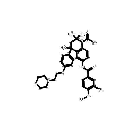 COc1ccc(C(=O)Nc2ccc3c(c2)C(C)(c2ccc(OCCN4CCOCC4)cc2)CC(C)(C)N3C(C)=O)cc1C